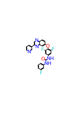 O=C(Nc1cccc(F)c1)Nc1cc(F)c(Oc2ccc3ncc(-c4cccnc4)nc3c2)c(F)c1